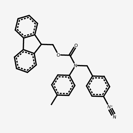 Cc1ccc(N(Cc2ccc([N+]#N)cc2)C(=O)OCC2c3ccccc3-c3ccccc32)cc1